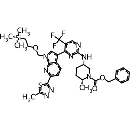 Cc1nnc(-c2ccc3c(-c4nc(N[C@H]5CC[C@H](C)N(C(=O)OCc6ccccc6)C5)ncc4C(F)(F)F)cn(COCC[Si](C)(C)C)c3n2)s1